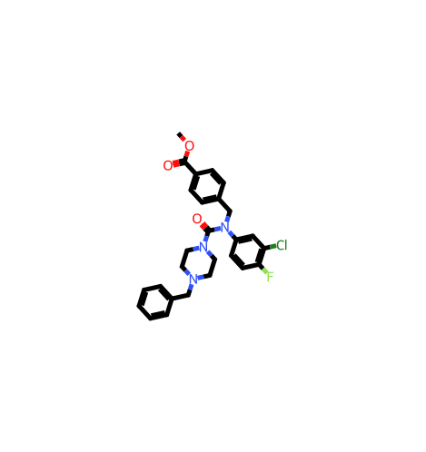 COC(=O)c1ccc(CN(C(=O)N2CCN(Cc3ccccc3)CC2)c2ccc(F)c(Cl)c2)cc1